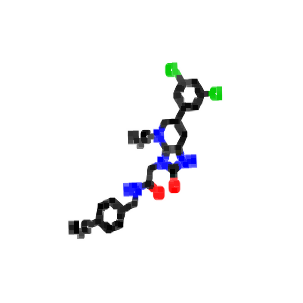 Cc1ccc(CNC(=O)Cn2c3c([nH]c2=O)C=C(c2cc(Cl)cc(Cl)c2)CN3C)cc1